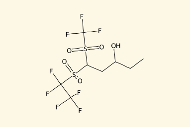 CCC(O)CC(S(=O)(=O)C(F)(F)F)S(=O)(=O)C(F)(F)C(F)(F)F